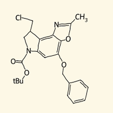 Cc1nc2c3c(cc(OCc4ccccc4)c2o1)N(C(=O)OC(C)(C)C)CC3CCl